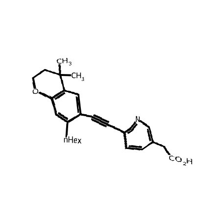 CCCCCCc1cc2c(cc1C#Cc1ccc(CC(=O)O)cn1)C(C)(C)CCO2